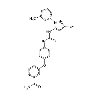 Cc1cccc(-n2nc(C(C)C)cc2NC(=O)Nc2ccc(Oc3ccnc(C(N)=O)c3)cc2)c1